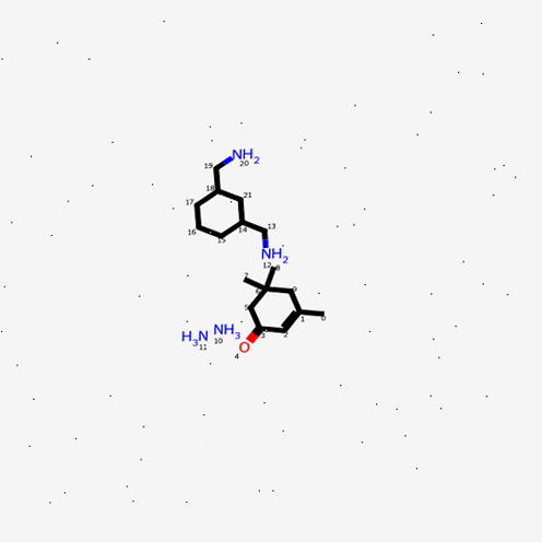 CC1=CC(=O)CC(C)(C)C1.N.N.NCC1CCCC(CN)C1